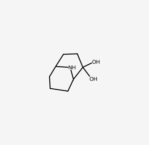 OC1(O)CCC2CCC[C]1N2